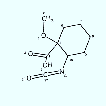 COC1(C(=O)O)CCCCC1N=C=O